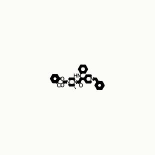 C[C@@H]1CN(C(=O)Oc2ccccc2Cl)CCN1C(=O)C(NC1CCCCC1)C1CCN(Cc2ccccc2)CC1